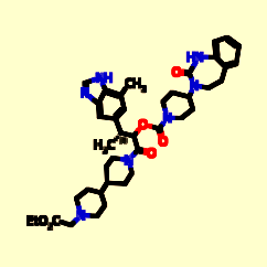 CCOC(=O)CN1CCC(C2CCN(C(=O)C(OC(=O)N3CCC(N4CCc5ccccc5NC4=O)CC3)[C@H](C)c3cc(C)c4[nH]cnc4c3)CC2)CC1